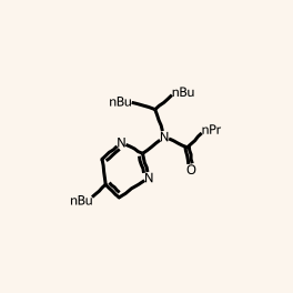 CCCCc1cnc(N(C(=O)CCC)C(CCCC)CCCC)nc1